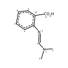 CN(C)/C=N/c1ccccc1C(=O)O